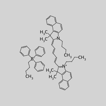 CCCCN1\C(=C/C=C/C=C/C2=[N+](CCCC)c3ccc4ccccc4c3C2(C)C)C(C)(C)c2c1ccc1ccccc21.CCCC[B-](c1ccccc1)(c1ccccc1)c1ccccc1